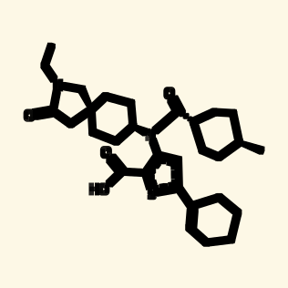 CCN1C[C@]2(CC[C@@H](N(c3cc(C4=CCCCC4)sc3C(=O)O)C(=O)[C@H]3CC[C@H](C)CC3)CC2)CC1=O